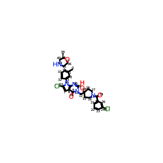 Cc1cc(-n2c(Cl)cc3c(=O)n(CC4(O)CCN(C(=O)c5cccc(Cl)c5)CC4)cnc32)ccc1[C@H]1CO[C@H](C)CN1